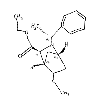 CCOC(=O)[C@@H]1[C@@H]2C[C@@H](CC2OC)N1[C@H](C)c1ccccc1